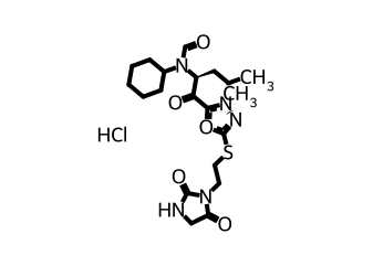 CC(C)C[C@@H](C(=O)c1nnc(SCCN2C(=O)CNC2=O)o1)N(C=O)C1CCCCC1.Cl